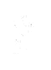 CC(=O)O.CC(=O)O.O=C1O[C@H]([C@@H](O)CO)C(O)=C1O